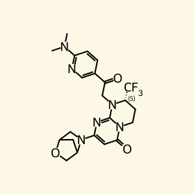 CN(C)c1ccc(C(=O)CN2c3nc(N4CC5CC4CO5)cc(=O)n3CC[C@H]2C(F)(F)F)cn1